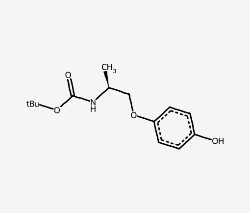 C[C@@H](COc1ccc(O)cc1)NC(=O)OC(C)(C)C